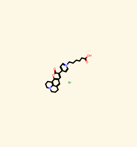 O=C(O)CCCCC[n+]1ccc(-c2cc3cc4c5c(c3oc2=O)CCCN5CCC4)cc1.[Br-]